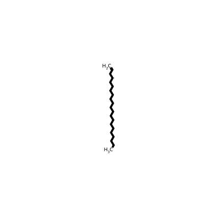 C=CC[CH]CCCCCCCCCCCCCCCCC